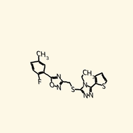 CCn1c(SCc2noc(-c3cc(C)ccc3F)n2)nnc1-c1cccs1